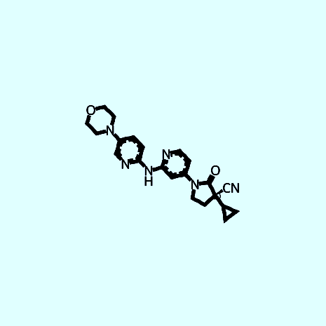 N#C[C@@]1(C2CC2)CCN(c2ccnc(Nc3ccc(N4CCOCC4)cn3)c2)C1=O